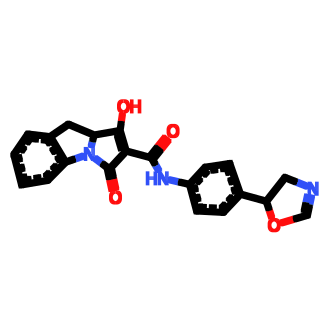 O=C(Nc1ccc(C2CN=CO2)cc1)C1=C(O)C2Cc3ccccc3N2C1=O